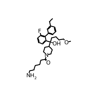 CCc1cccc(-c2c(F)cccc2[C@](O)(CCCCOC)C2CCN(C(=O)CCCCCN)CC2)c1